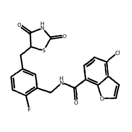 O=C1NC(=O)C(Cc2ccc(F)c(CNC(=O)c3ccc(Cl)c4ccoc34)c2)S1